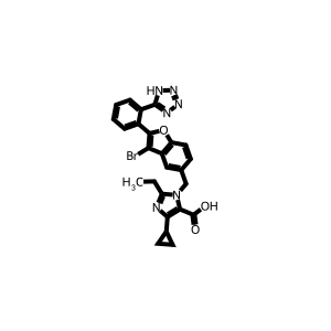 CCc1nc(C2CC2)c(C(=O)O)n1Cc1ccc2oc(-c3ccccc3-c3nnn[nH]3)c(Br)c2c1